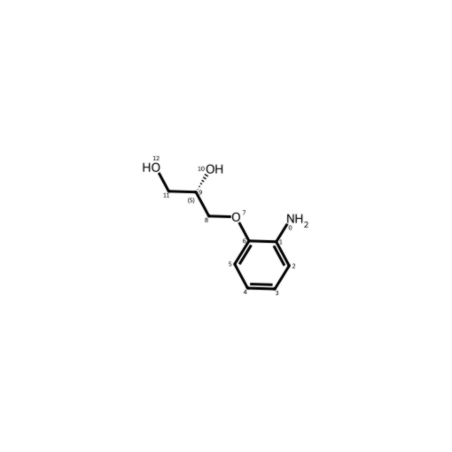 Nc1ccccc1OC[C@@H](O)CO